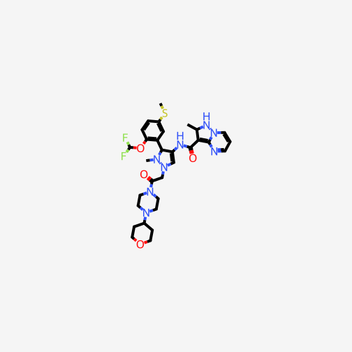 CSc1ccc(OC(F)F)c(C2C(NC(=O)C3=C4N=CC=CN4NC3C)=CN(CC(=O)N3CCN(C4CCOCC4)CC3)N2C)c1